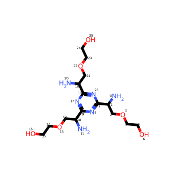 NC(COCCO)c1nc(C(N)COCCO)nc(C(N)COCCO)n1